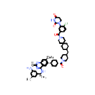 COc1cc2nc(C)nc(N[C@H](C)c3cc(N)cc(C(F)(F)F)c3)c2cc1[C@H]1CC[C@H](C(=O)N2CCC(CC3CCC4(CC3)CCN(C(=O)c3ccc(Cl)c(N5CCC(=O)NC5=O)c3)CC4)CC2)CC1